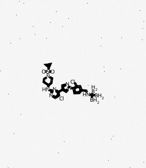 BC(B)(B)NCc1ccc(-n2cc(-c3nc(NC4CCN(S(=O)(=O)C5CC5)CC4)ncc3Cl)cn2)c(Cl)c1